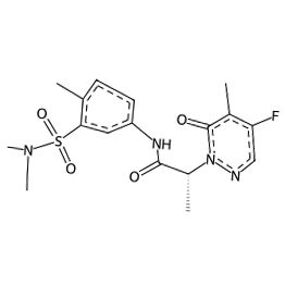 Cc1ccc(NC(=O)[C@@H](C)n2ncc(F)c(C)c2=O)cc1S(=O)(=O)N(C)C